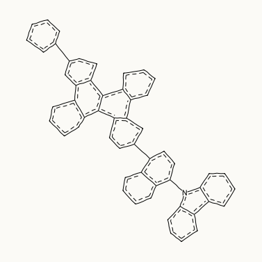 c1ccc(-c2ccc3c(c2)c2ccccc2c2c4ccc(-c5ccc(-n6c7ccccc7c7ccccc76)c6ccccc56)cc4c4ccccc4c32)cc1